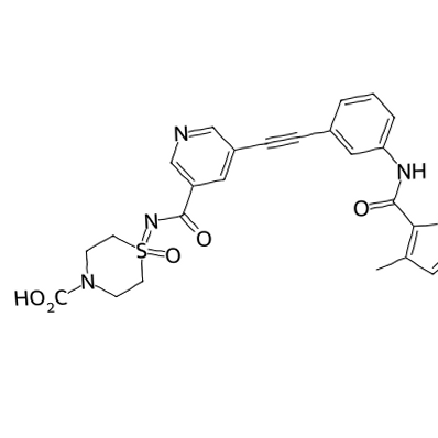 Cc1ccoc1C(=O)Nc1cccc(C#Cc2cncc(C(=O)N=S3(=O)CCN(C(=O)O)CC3)c2)c1